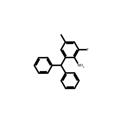 Cc1cc(F)c(N)c(C(c2ccccc2)c2ccccc2)c1